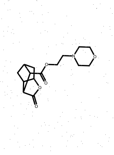 O=C(OCCN1CCOCC1)C1C2CC3OC(=O)C1C3C2